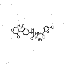 Cc1cc(NC(=O)[C@H](NC(=O)c2ccc(Cl)s2)C(C)C)ccc1N1CCOCC1=O